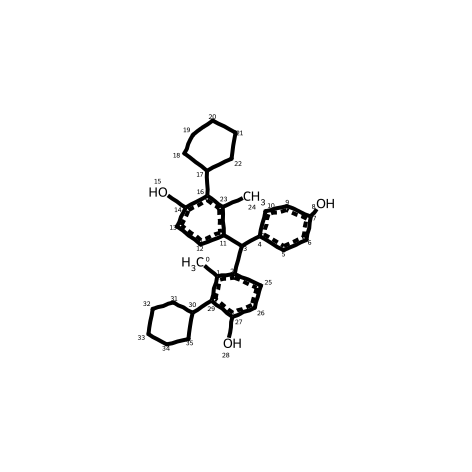 Cc1c(C(c2ccc(O)cc2)c2ccc(O)c(C3CCCCC3)c2C)ccc(O)c1C1CCCCC1